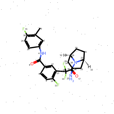 Cc1cc(NC(=O)c2ccc(F)c(C(F)(F)C(=O)N3[C@@H]4CC[C@H]3C[C@@H](N)C4)c2)ccc1F